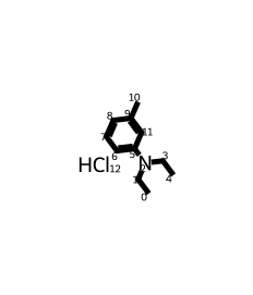 CCN(CC)c1cccc(C)c1.Cl